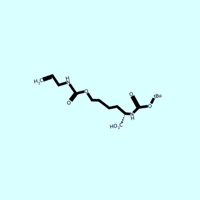 C=CCNC(=O)OCCCC[C@H](NC(=O)OC(C)(C)C)C(=O)O